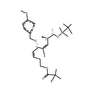 COc1ccc(CO[C@@H](/C=C\CCOC(=O)C(C)(C)C)/C(F)=C\[C@@H](C)[C@H](C)O[Si](C)(C)C(C)(C)C)cc1